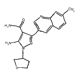 Cc1ccc2cc(-c3nn(C4CCOC4)c(N)c3C(N)=O)cnc2c1